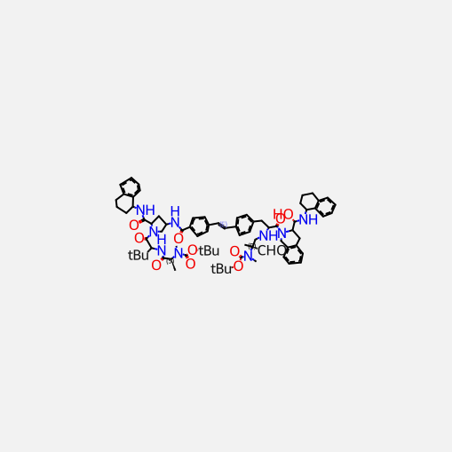 C[C@@H](C(=O)NC(C(=O)N1CC(NC(=O)c2ccc(/C=C/c3ccc(CC(NC[C@](C)(C=O)N(C)C(=O)OC(C)(C)C)C(=O)N4Cc5ccccc5CC4C(O)NC4CCCc5ccccc54)cc3)cc2)CC1C(=O)NC1CCCc2ccccc21)C(C)(C)C)N(C)C(=O)OC(C)(C)C